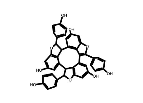 Oc1ccc(-c2oc3cc(O)cc4c3c2-c2cc(O)cc3c2C(c2cc(O)cc5c2C4C(c2ccc(O)cc2)O5)C(c2ccc(O)cc2)O3)cc1